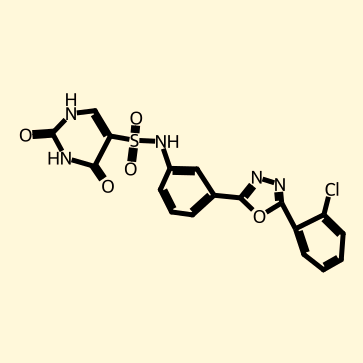 O=c1[nH]cc(S(=O)(=O)Nc2cccc(-c3nnc(-c4ccccc4Cl)o3)c2)c(=O)[nH]1